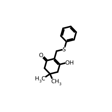 CC1(C)CC(=O)C(CSc2ccccc2)=C(O)C1